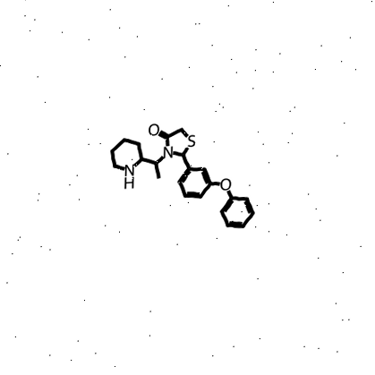 CC(C1CCCCN1)N1C(=O)CSC1c1cccc(Oc2ccccc2)c1